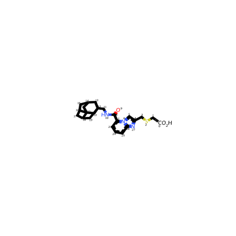 O=C(O)CSCc1cn2c(C(=O)NCC34CC5CC6CC(C3)C6(C5)C4)cccc2n1